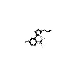 C=CCc1ccc(-c2cc(Cl)ccc2C(=O)O)s1